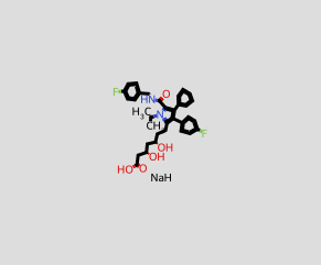 CC(C)n1c(CC[C@@H](O)C[C@@H](O)CC(=O)O)c(-c2ccc(F)cc2)c(-c2ccccc2)c1C(=O)NCc1ccc(F)cc1.[NaH]